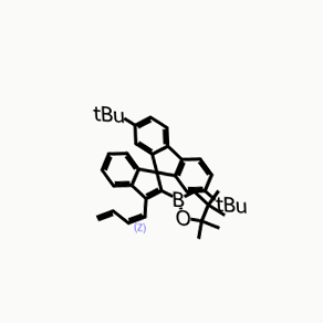 C=C/C=C\C1=C(B2CC(C)(C)C(C)(C)O2)C2(c3ccccc31)c1cc(C(C)(C)C)ccc1-c1ccc(C(C)(C)C)cc12